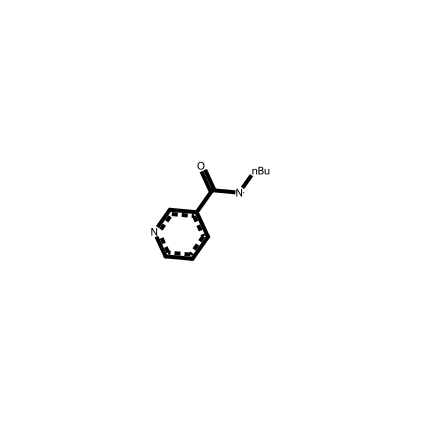 CCCC[N]C(=O)c1cccnc1